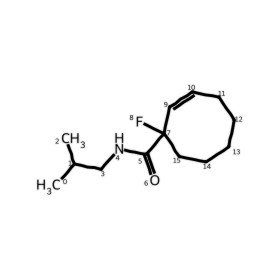 CC(C)CNC(=O)C1(F)/C=C\CCCCC1